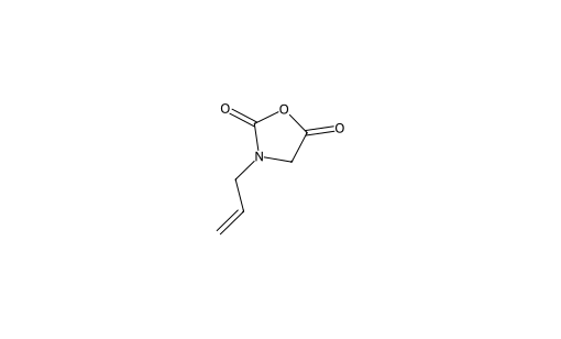 C=CCN1CC(=O)OC1=O